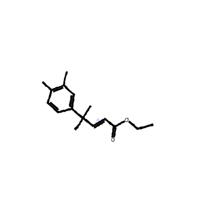 CCOC(=O)/C=C/C(C)(C)c1ccc(C)c(C)c1